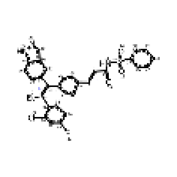 CC/C(=C(/c1ccc(/C=C/C(=O)NS(=O)(=O)c2ccccn2)cc1)c1ccc2[nH]ncc2c1)c1ccc(F)cc1Cl